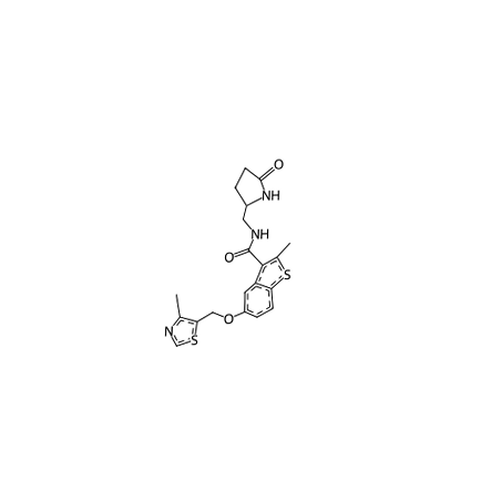 Cc1ncsc1COc1ccc2sc(C)c(C(=O)NCC3CCC(=O)N3)c2c1